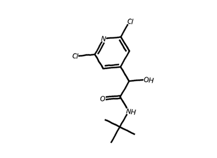 CC(C)(C)NC(=O)C(O)c1cc(Cl)nc(Cl)c1